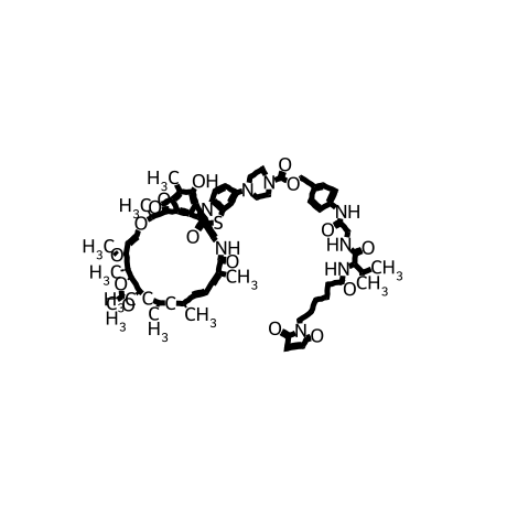 CO[C@H]1/C=C/O[C@@]2(C)Oc3c(C)c(O)c4c(=O)c(c5sc6cc(N7CCN(C(=O)OCc8ccc(NC(=O)CNC(=O)C(NC(=O)CCCCCN9C(=O)C=CC9=O)C(C)C)cc8)CC7)ccc6nc-5c4c3C2=O)NC(=O)/C(C)=C\C=C\[C@H](C)C[C@@H](C)C[C@@H](C)[C@H](OC(C)=O)[C@@H]1C